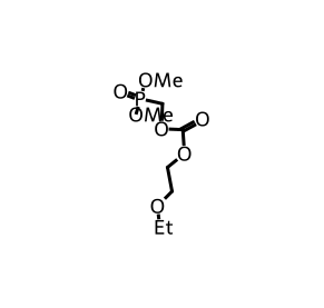 CCOCCOC(=O)OCP(=O)(OC)OC